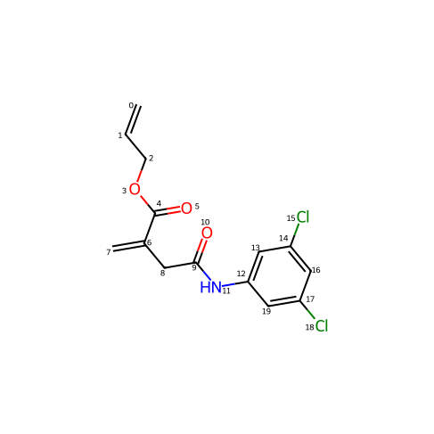 C=CCOC(=O)C(=C)CC(=O)Nc1cc(Cl)cc(Cl)c1